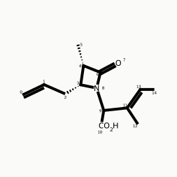 C=CC[C@@H]1[C@H](C)C(=O)N1C(C(=O)O)C(C)=CC